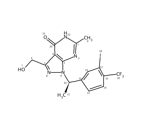 Cc1nc2c(c(CO)nn2[C@H](C)c2ccc(C(F)(F)F)c(I)c2)c(=O)[nH]1